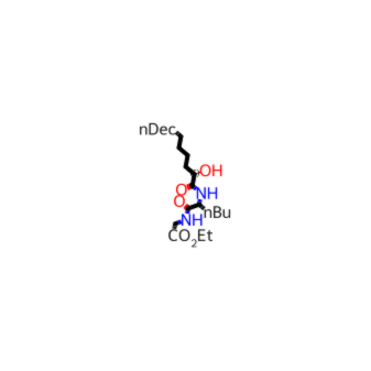 CCCCCCCCCCCCCC[C@H](O)C(=O)NC(CCCC)C(=O)NCC(=O)OCC